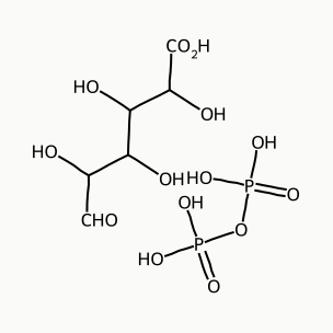 O=CC(O)C(O)C(O)C(O)C(=O)O.O=P(O)(O)OP(=O)(O)O